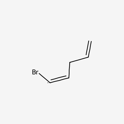 C=CC/C=[C]\Br